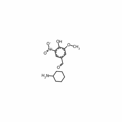 COc1cc(C=O)cc([N+](=O)[O-])c1O.NC1CCCCC1